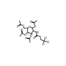 CC(=O)OCC1OC(OC(C)=O)C(NC(=O)OCC(Cl)(Cl)Cl)[C@@H](OC(C)=O)[C@H]1OC(C)=O